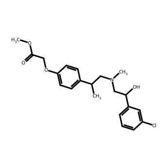 COC(=O)COc1ccc(C(C)CN(C)CC(O)c2cccc(Cl)c2)cc1